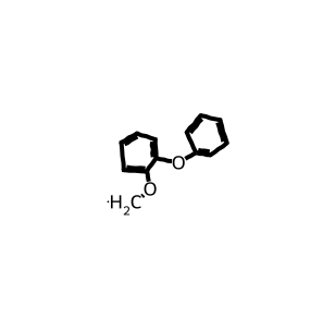 [CH2]Oc1ccccc1Oc1ccccc1